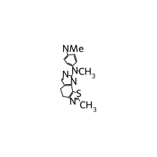 CNc1ccc(N(C)c2ncc3c(n2)-c2sc(C)nc2CC3)cc1